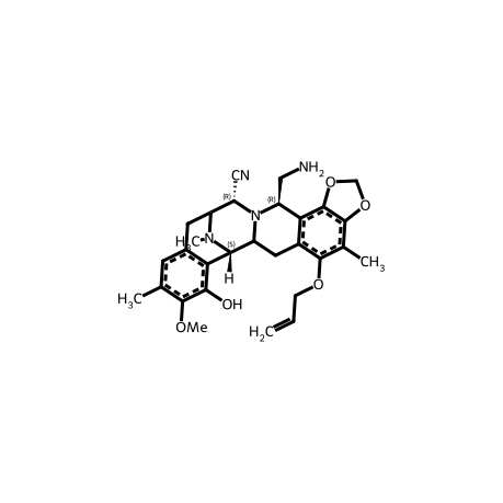 C=CCOc1c(C)c2c(c3c1CC1[C@@H]4c5c(cc(C)c(OC)c5O)CC([C@H](C#N)N1[C@H]3CN)N4C)OCO2